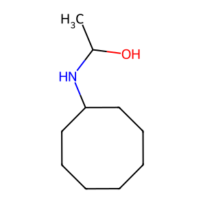 CC(O)NC1CCCCCCC1